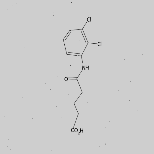 O=C(O)CCCC(=O)Nc1cccc(Cl)c1Cl